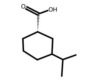 CC(C)C1CCC[C@H](C(=O)O)C1